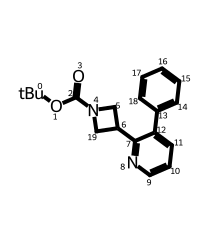 CC(C)(C)OC(=O)N1CC(c2ncccc2-c2ccccc2)C1